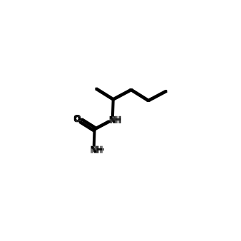 CCCC(C)NC([NH])=O